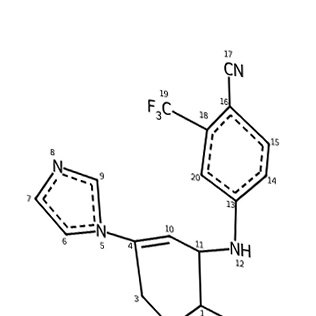 CC1CCC(n2ccnc2)=CC1Nc1ccc(C#N)c(C(F)(F)F)c1